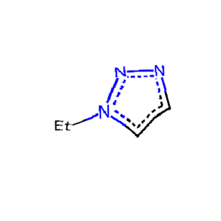 CCn1ccnn1